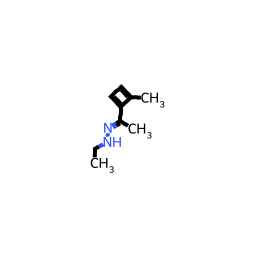 CCN/N=C(\C)C1=CC=C1C